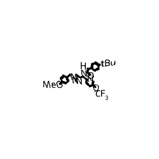 COc1ccc(Cn2cc([C@@H](NC(=O)Cc3ccc(C(C)(C)C)cc3)c3ccc(OCC(F)(F)F)cn3)nn2)cc1